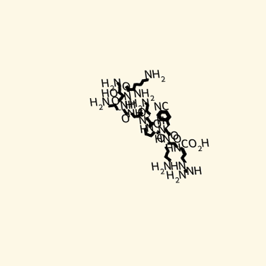 N#Cc1ccc(C[C@H](NC(=O)[C@@H]2CCCN2C(=O)[C@@H](CCCN)NC(=O)CNC(=O)[C@H](CCCN)NC(=O)[C@@H](NC(=O)[C@@H](N)CCCCN)[C@@H](O)CN)C(=O)N[C@@H](CCCCN)C(=O)N/C(=C\CCNC(=N)N)C(=O)O)cc1